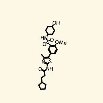 COc1ccc(-c2sc(NC(=O)CCC3CCCC3)nc2C)cc1S(=O)(=O)NC1CCC(O)CC1